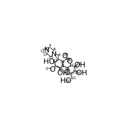 COc1c(O)c(CN2CCN(C)CC2)c2c(c1O)C1OC(CO)C(O)C(O)C1OC2=O